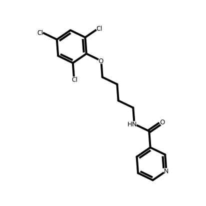 O=C(NCCCCOc1c(Cl)cc(Cl)cc1Cl)c1cccnc1